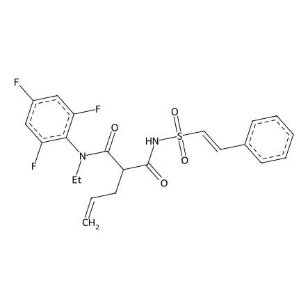 C=CCC(C(=O)NS(=O)(=O)C=Cc1ccccc1)C(=O)N(CC)c1c(F)cc(F)cc1F